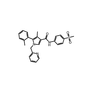 Cc1ccccc1-c1c(C)c(C(=O)Nc2ccc(S(C)(=O)=O)cc2)cn1Cc1ccccn1